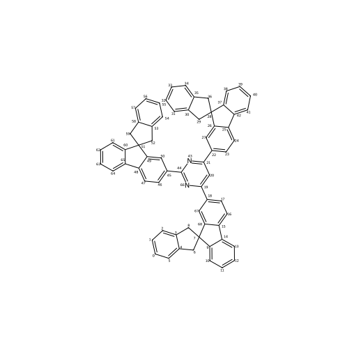 c1ccc2c(c1)CC1(C2)c2ccccc2-c2ccc(-c3cc(-c4ccc5c(c4)C4(Cc6ccccc6C4)c4ccccc4-5)nc(-c4ccc5c(c4)C4(Cc6ccccc6C4)c4ccccc4-5)n3)cc21